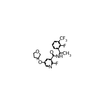 C[C@@H](NC(=O)c1cc(O[C@@H]2CCOC2)cnc1F)c1cccc(C(F)(F)F)c1F